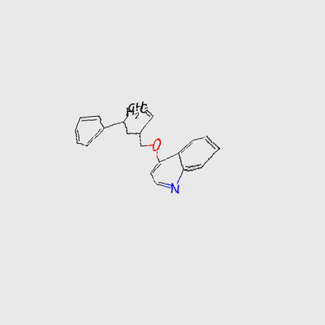 C=CC(COc1ccnc2ccccc12)CC(C)c1ccccc1